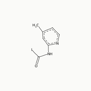 Cc1ccnc(NC(=O)I)c1